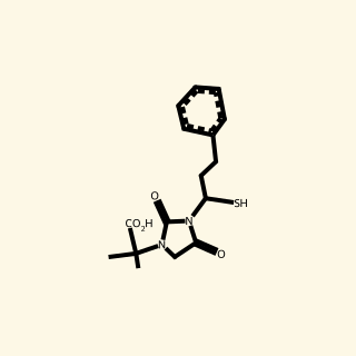 CC(C)(C(=O)O)N1CC(=O)N(C(S)CCc2ccccc2)C1=O